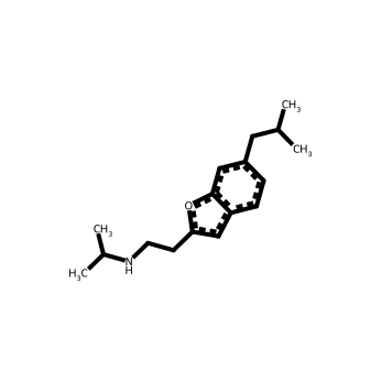 CC(C)Cc1ccc2cc(CCNC(C)C)oc2c1